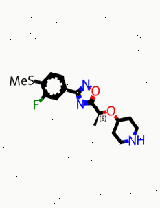 CSc1ccc(-c2noc([C@H](C)OC3CCNCC3)n2)cc1F